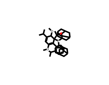 COC1=C(c2ccccc2C(C)C)C(C(C)C)(P(C2C3CC4CC(C3)CC2C4)C23CC4CC(CC(C4)C2)C3)C(OC)C(C(C)C)=C1